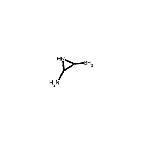 BC1NC1N